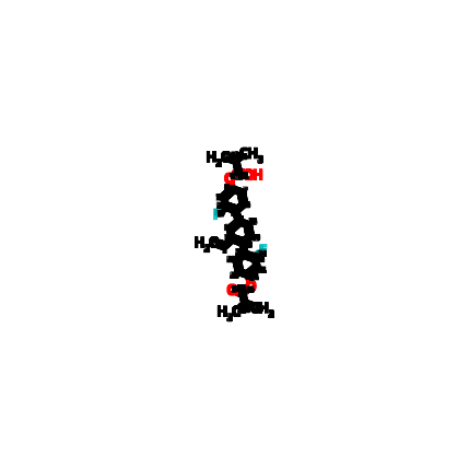 C=Cc1cc(-c2ccc(OC(O)C(=C)C)cc2F)ccc1-c1ccc(OC(=O)C(=C)C)cc1F